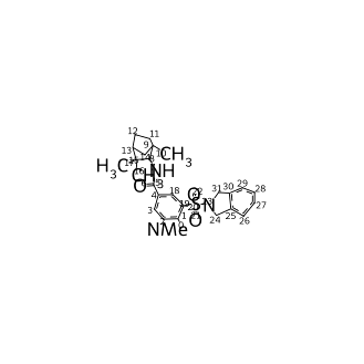 CNc1ccc(C(=O)NC2C3(C)CCC(C3)C2(C)C)cc1S(=O)(=O)N1Cc2ccccc2C1